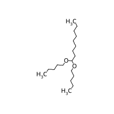 CCCCCCCCC(OCCCCC)OCCCCC